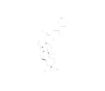 C[C@H](CC[C@H](O)C1CCCCC1)[C@H]1CC[C@H]2[C@@H]3CC=C4C[C@@](C)(O)CC[C@]4(C)[C@H]3CC[C@]12C